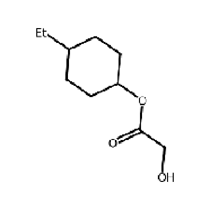 CCC1CCC(OC(=O)CO)CC1